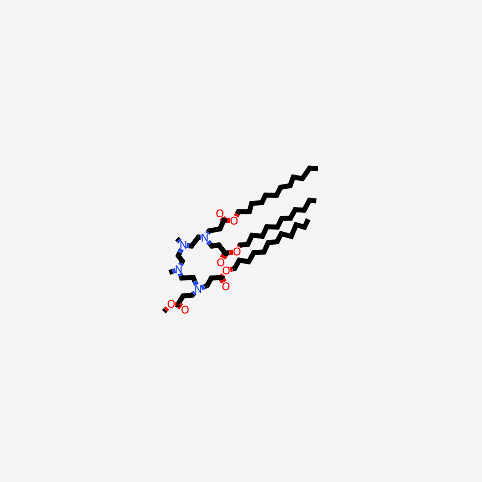 CCCCCCCCCCCCOC(=O)CCN(CCC(=O)OC)CCN(C)CCN(C)CCN(CCC(=O)OCCCCCCCCCCCC)CCC(=O)OCCCCCCCCCCCC